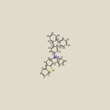 c1ccc2c(c1)sc1c2ccc2c1c1ccccc1n2-c1ccc2c3ccccc3c3ccccc3c2c1